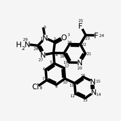 CN1C(=O)C(c2cc(Cl)cc(-c3ccnnc3)c2)(c2cncc(C(F)F)c2)N=C1N